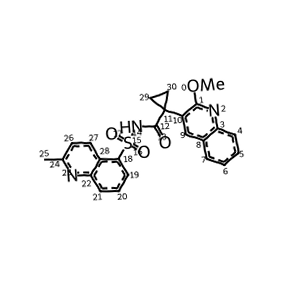 COc1nc2ccccc2cc1C1(C(=O)NS(=O)(=O)c2cccc3nc(C)ccc23)CC1